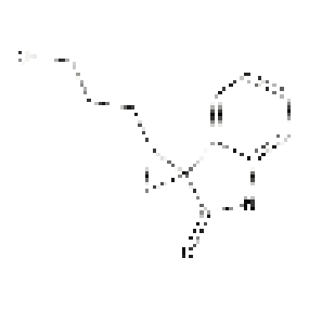 O=C1Nc2ccccc2C12CC2CCCCl